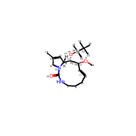 CO[C@H]1/C=C/CCCNC(=O)N2CC(C)=C[C@@H]2[C@@H]1O[Si](C)(C)C(C)(C)C